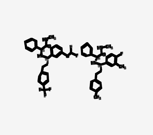 CNC(=O)[C@@H](N[C@@H](CCc1ccc(C(F)(F)F)cc1)c1cccc(OC(F)F)c1)c1ccccc1.CNC(=O)[C@H](N[C@@H](CCc1ccc(C)cc1)c1ccc(F)c(C)c1)c1ccccc1